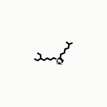 CCC(CC)CCCCn1nncc1CCCCC(C)C